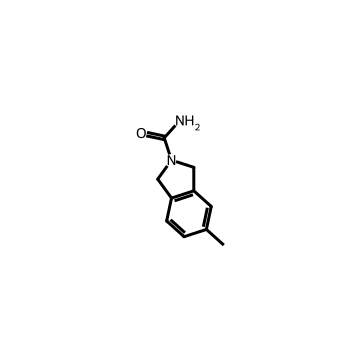 Cc1ccc2c(c1)CN(C(N)=O)C2